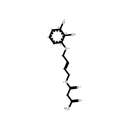 CC(=O)CC(=O)OCC=CCOc1cccc(Cl)c1Cl